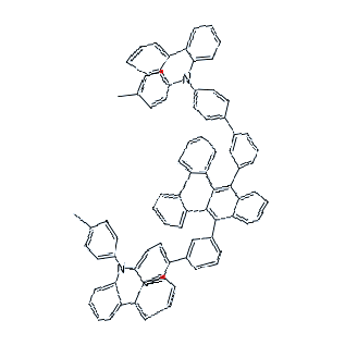 Cc1ccc(N(c2ccc(-c3cccc(-c4c5ccccc5c(-c5cccc(-c6ccc(N(c7ccc(C)cc7)c7ccccc7-c7ccccc7)cc6)c5)c5c6ccccc6c6ccccc6c45)c3)cc2)c2ccccc2-c2ccccc2)cc1